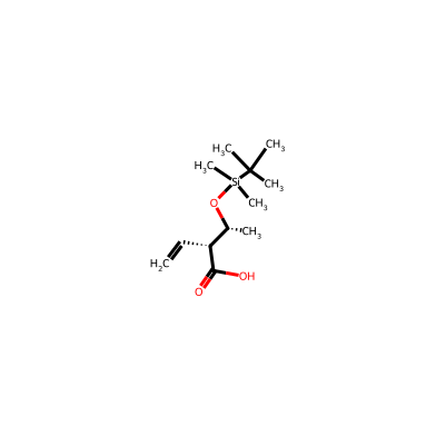 C=C[C@@H](C(=O)O)[C@@H](C)O[Si](C)(C)C(C)(C)C